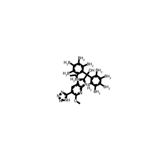 Bc1c(B)c(B)c(C(O)(c2c(B)c(B)c(B)c(B)c2B)c2nc3nc(OC)c(-c4nnn[nH]4)cc3n2CC)c(B)c1B